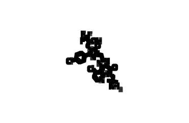 CC(C)(N)CNC(=O)c1nc(Cn2nc(-c3ccc(Cl)cc3)n(C[C@H](O)C(F)(F)F)c2=O)nn1-c1cnccc1Cl